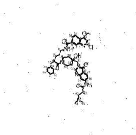 COc1cc(Cl)nc2cc(C(=O)NCCCC(Cc3ccccc3)C(=O)N3CCC(O)(Cn4cnc5cc(NC(=O)CCN(C)C)ccc5c4=O)CC3)ccc12